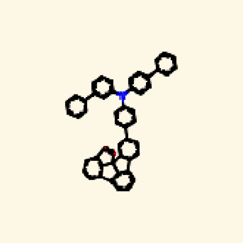 c1ccc(-c2ccc(N(c3ccc(-c4ccc5c(c4)C46c7ccccc7-c7cccc(c74)-c4cccc-5c46)cc3)c3cccc(-c4ccccc4)c3)cc2)cc1